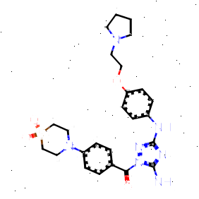 Nc1nc(Nc2ccc(OCCN3CCCC3)cc2)nn1C(=O)c1ccc(N2CCS(=O)(=O)CC2)cc1